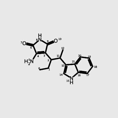 CCC(C1=C(N)C(=O)NC1=O)C(C)c1c[nH]c2ccccc12